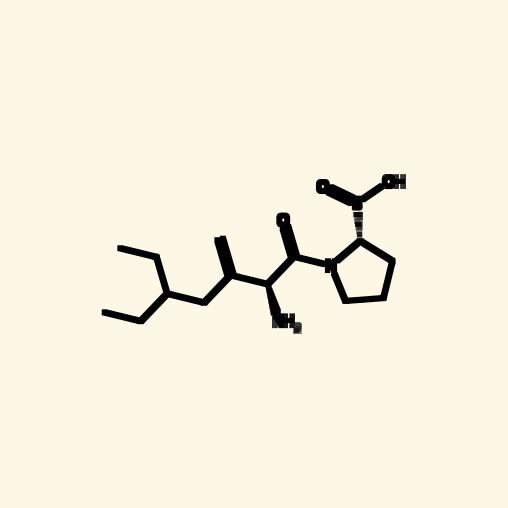 C=C(CC(CC)CC)[C@H](N)C(=O)N1CCC[C@H]1S(=O)O